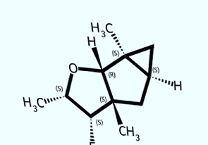 C[C@@H]1O[C@@H]2[C@@]3(C)C[C@H]3C[C@]2(C)[C@@H]1F